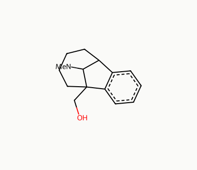 CNC1C2CCCCC1(CO)c1ccccc12